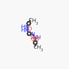 Cc1ccc(NC(=O)Nc2ccc3sc(NS(=O)(=O)c4ccc(C)cc4)nc3c2)cc1